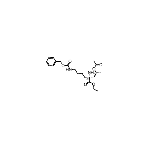 CCOC(=O)[C@@](N)(CCCCNC(=O)OCc1ccccc1)CC(C)OC(C)=O